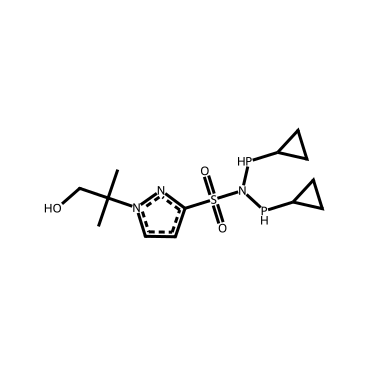 CC(C)(CO)n1ccc(S(=O)(=O)N(PC2CC2)PC2CC2)n1